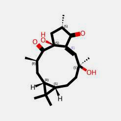 C[C@@H]1C[C@@H]2[C@H](CC[C@](C)(O)/C=C3/C(=O)[C@@H](C)C[C@@]3(O)C1=O)C2(C)C